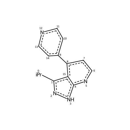 CC(C)c1n[nH]c2nccc(-c3ccncc3)c12